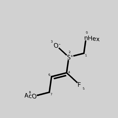 CCCCCCC[S+]([O-])C(F)=CCOC(C)=O